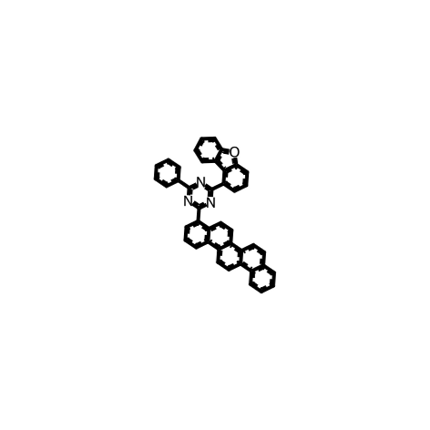 c1ccc(-c2nc(-c3cccc4c3ccc3c4ccc4c5ccccc5ccc43)nc(-c3cccc4oc5ccccc5c34)n2)cc1